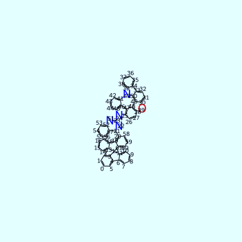 c1ccc2c(c1)-c1ccccc1C21c2ccccc2-c2c(-c3nc(-n4c5ccc6oc7ccc8c9ccccc9n9c%10cccc4c%10c5c6c7c89)nc4ccccc34)cccc21